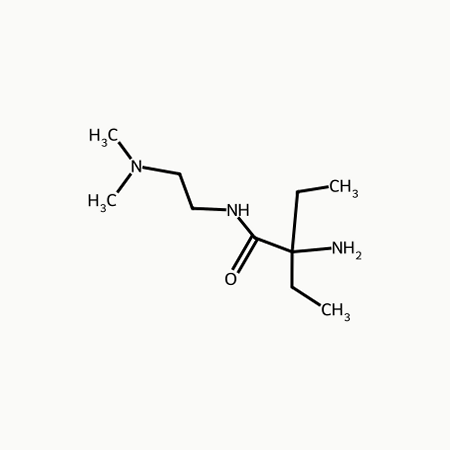 CCC(N)(CC)C(=O)NCCN(C)C